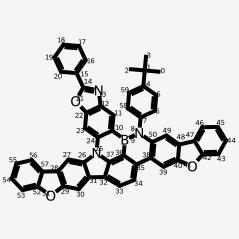 CC(C)(C)c1ccc(N2B3c4cc5nc(-c6ccccc6)oc5cc4-n4c5cc6c(cc5c5ccc(c3c54)-c3cc4oc5ccccc5c4cc32)oc2ccccc26)cc1